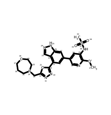 COc1ncc(-c2cc(-c3nnc(CN4CCCOCC4)o3)c3cn[nH]c3c2)cc1NS(C)(=O)=O